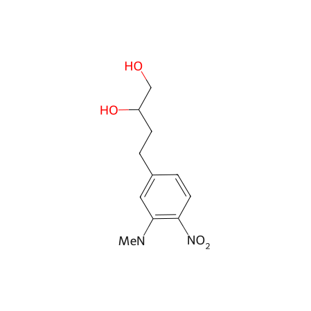 CNc1cc(CCC(O)CO)ccc1[N+](=O)[O-]